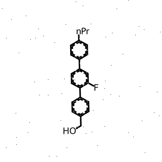 CCCc1ccc(-c2ccc(-c3ccc(CO)cc3)c(F)c2)cc1